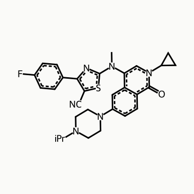 CC(C)N1CCN(c2ccc3c(=O)n(C4CC4)cc(N(C)c4nc(-c5ccc(F)cc5)c(C#N)s4)c3c2)CC1